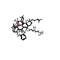 COC(=O)/C(C)=C\CC12OC(C)(C)C3CC(C1=O)C1Sc4ccccc4NC4=C1C32Oc1c(CC=C(C)C)c2c(c(OCCNCCO)c14)C=CC(C)(CCC=C(C)C)O2